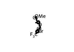 COC(=O)CCc1ccc(OCC[C@H](C)Oc2ccc(C(F)(F)F)cc2Br)cc1C